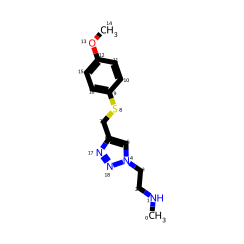 CNCCn1cc(CSc2ccc(OC)cc2)nn1